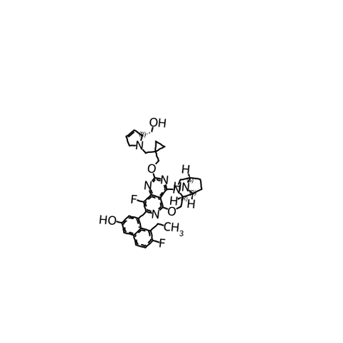 CCc1c(F)ccc2cc(O)cc(-c3nc4c5c(nc(OCC6(CN7CC=C[C@@H]7CO)CC6)nc5c3F)N3C[C@@H]5CC[C@@H](N5)[C@@H]3CO4)c12